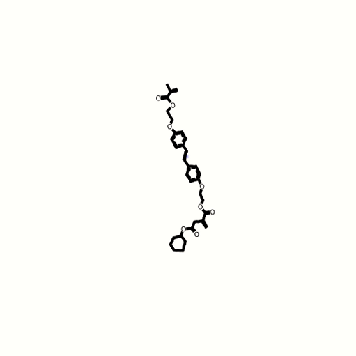 C=C(C)C(=O)OCCOc1ccc(/C=C/c2ccc(OCCOC(=O)C(=C)CC(=O)OC3CCCCC3)cc2)cc1